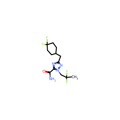 CC(F)(F)Cn1nc(CC2CCC(F)(F)CC2)nc1C(N)=O